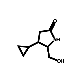 O=C1CC(C2CC2)C(CO)N1